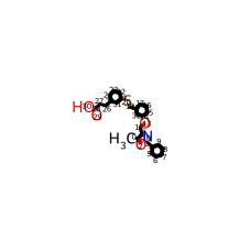 Cc1oc(-c2ccccc2)nc1COc1cccc(CSc2cccc(CCC(=O)O)c2)c1